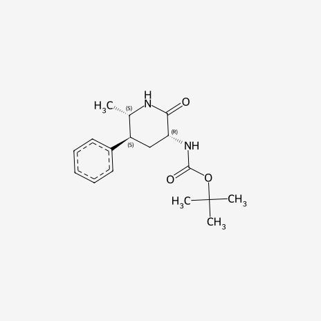 C[C@@H]1NC(=O)[C@H](NC(=O)OC(C)(C)C)C[C@H]1c1ccccc1